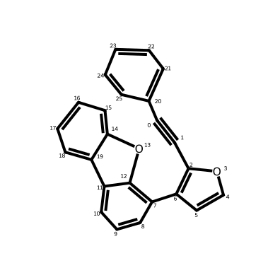 C(#Cc1occc1-c1cccc2c1oc1ccccc12)c1ccccc1